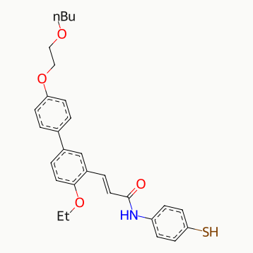 CCCCOCCOc1ccc(-c2ccc(OCC)c(/C=C/C(=O)Nc3ccc(S)cc3)c2)cc1